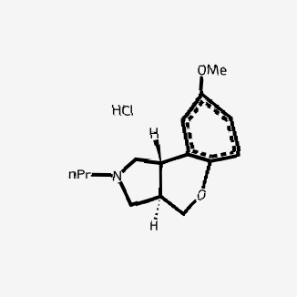 CCCN1C[C@@H]2COc3ccc(OC)cc3[C@H]2C1.Cl